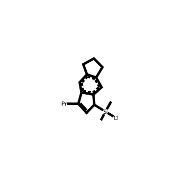 CC(C)C1=CC([Si](C)(C)Cl)c2cc3c(cc21)CCC3